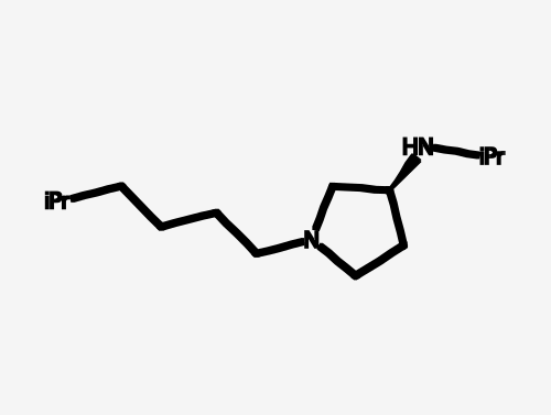 CC(C)CCCCN1CC[C@H](NC(C)C)C1